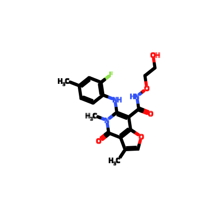 Cc1ccc(Nc2c(C(=O)NOCCO)c3occ(C)c3c(=O)n2C)c(F)c1